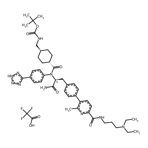 CCN(CC)CCCNC(=O)c1ccc(-c2ccc(C[C@@H](C(N)=O)N(c3ccc(-c4nn[nH]n4)cc3)C(=O)[C@H]3CC[C@H](CNC(=O)OC(C)(C)C)CC3)cc2)c(C)n1.O=C(O)C(F)(F)F